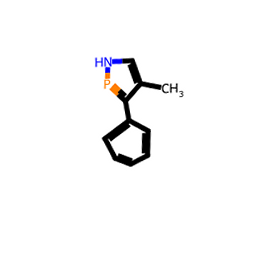 Cc1c[nH]pc1-c1ccccc1